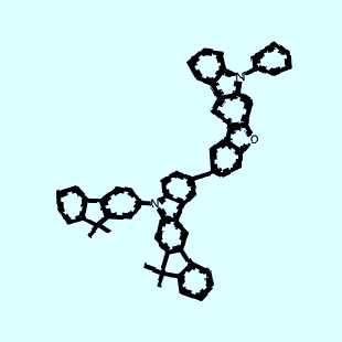 CC1(C)c2ccccc2-c2ccc(-n3c4ccc(-c5ccc6oc7cc8c(cc7c6c5)c5ccccc5n8-c5ccccc5)cc4c4cc5c(cc43)C(C)(C)c3ccccc3-5)cc21